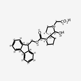 O=C(O)CN1CC[C@@]2(CCCN2C(=O)OCC2c3ccccc3-c3ccccc32)C1O